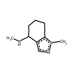 CNC1CCCc2c1cnn2C